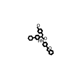 O=Cc1ccc(CC(C(=O)Nc2ccc(-c3cc4ccccc4o3)cc2)c2ccc(C3CCCCC3)cc2)cc1